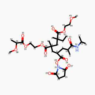 CCC(C)(CC(C)(CC(CC(C)C(=O)NC(C)C)C(=O)ON1C(=O)CCC1=O)C(=O)OCCOC(=O)C(C)OC)C(=O)OCCOC